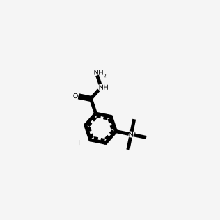 C[N+](C)(C)c1cccc(C(=O)NN)c1.[I-]